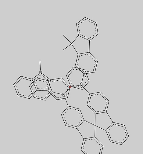 Cn1c2ccccc2c2ccc(N(c3ccc4c(c3)C(C)(C)c3ccccc3-4)c3ccc4c(c3)C3(c5ccccc5-c5ccc(N(c6ccccc6)c6ccccc6)cc53)c3ccccc3-4)cc21